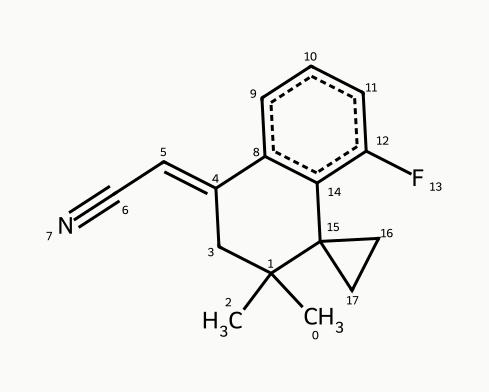 CC1(C)C/C(=C\C#N)c2cccc(F)c2C12CC2